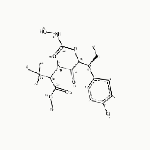 CC[C@@H](c1ccc(Cl)cc1)C(CC(=O)NO)C(=O)NC(C(=O)OC)C(C)(C)C